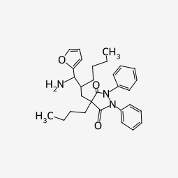 CCCCC(CC1(CCCC)C(=O)N(c2ccccc2)N(c2ccccc2)C1=O)C(N)c1ccco1